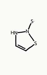 [S]N1NC=CS1